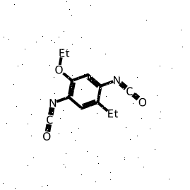 CCOc1cc(N=C=O)c(CC)cc1N=C=O